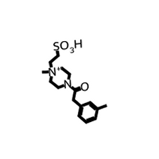 Cc1cccc(CC(=O)N2CC[N+](C)(CCS(=O)(=O)O)CC2)c1